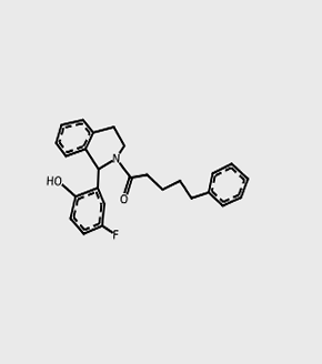 O=C(CCCCc1ccccc1)N1CCc2ccccc2C1c1cc(F)ccc1O